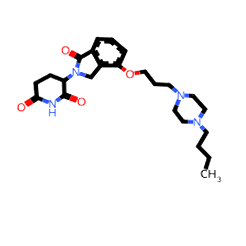 CCCCN1CCN(CCCOc2cccc3c2CN(C2CCC(=O)NC2=O)C3=O)CC1